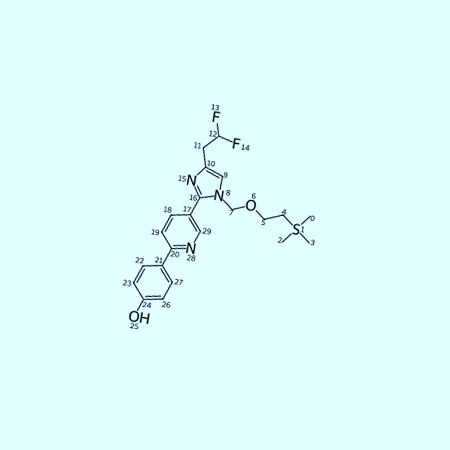 CS(C)(C)CCOCn1cc(CC(F)F)nc1-c1ccc(-c2ccc(O)cc2)nc1